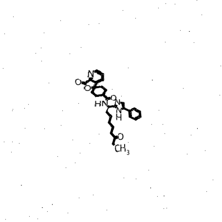 CCC(=O)CCCCC[C@@H](NC(=O)C1CCC2(CC1)OC(=O)c1ncccc12)c1ncc(-c2ccccc2)[nH]1